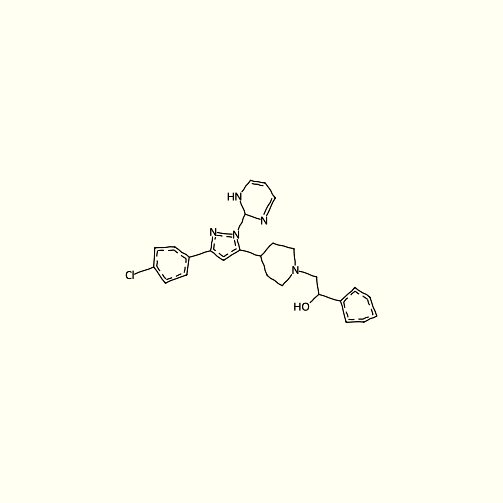 OC(CN1CCC(c2cc(-c3ccc(Cl)cc3)nn2C2N=CC=CN2)CC1)c1ccccc1